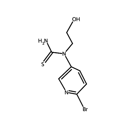 NC(=S)N(CCO)c1ccc(Br)nc1